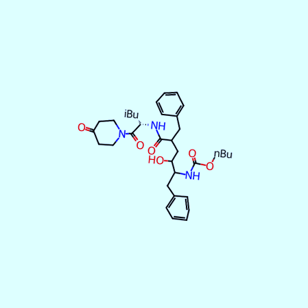 CCCCOC(=O)NC(Cc1ccccc1)C(O)CC(Cc1ccccc1)C(=O)N[C@H](C(=O)N1CCC(=O)CC1)[C@@H](C)CC